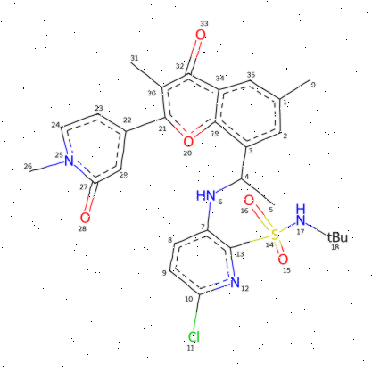 Cc1cc(C(C)Nc2ccc(Cl)nc2S(=O)(=O)NC(C)(C)C)c2oc(-c3ccn(C)c(=O)c3)c(C)c(=O)c2c1